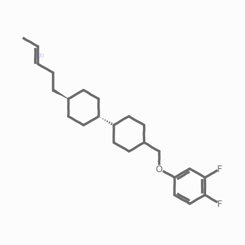 C/C=C/CC[C@H]1CC[C@H](C2CCC(COc3ccc(F)c(F)c3)CC2)CC1